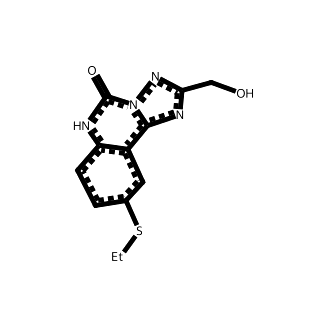 CCSc1ccc2[nH]c(=O)n3nc(CO)nc3c2c1